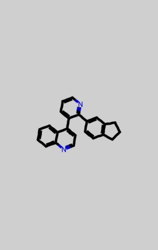 c1cnc(-c2ccc3c(c2)CCC3)c(-c2ccnc3ccccc23)c1